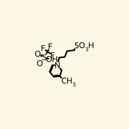 CC1=CC=CN(CCCCS(=O)(=O)O)C1.O=S(=O)(O)C(F)(F)F